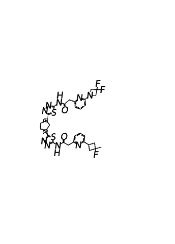 CC1(F)CC(c2cccc(CC(=O)Nc3nnc([C@H]4CC[C@H](c5nnc(NC(=O)Cc6cccc(N7CC(F)(F)C7)n6)s5)C4)s3)n2)C1